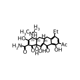 CCc1cc(C(C)=O)c(O)c2c1C[C@H]1C[C@H]3[C@H](N(C)C)C(O)=C(C(N)=O)C(=O)[C@@]3(O)C(O)=C1C2=O